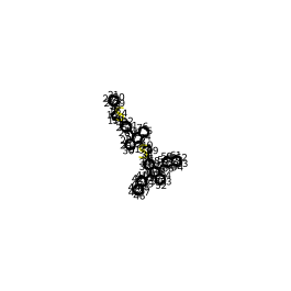 C1=C(c2c3ccccc3c(-c3ccc(-c4ccc(-c5ccccc5)s4)cc3)c3ccccc23)SC(c2ccc3c(-c4ccc5ccccc5c4)c4ccccc4c(-c4ccc5ccccc5c4)c3c2)C1